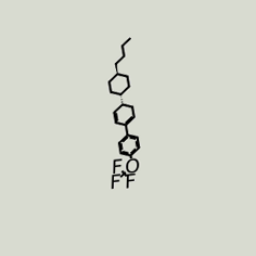 CCCC[C@H]1CC[C@H](C2C=CC(c3ccc(OC(F)(F)F)cc3)=CC2)CC1